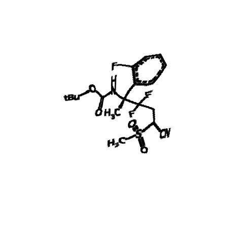 CC(C)(C)OC(=O)N[C@](C)(c1ccccc1F)C(F)(F)CC(C#N)S(C)(=O)=O